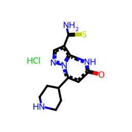 Cl.NC(=S)c1cnn2c(C3CCNCC3)cc(=O)[nH]c12